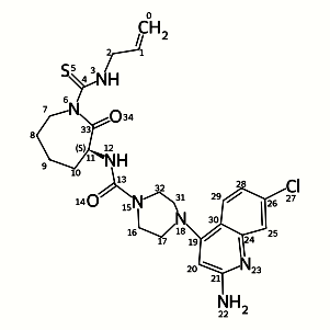 C=CCNC(=S)N1CCCC[C@H](NC(=O)N2CCN(c3cc(N)nc4cc(Cl)ccc34)CC2)C1=O